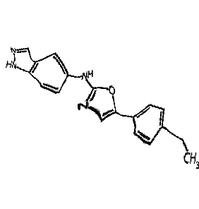 CCc1ccc(-c2cnc(Nc3ccc4[nH]ncc4c3)o2)cc1